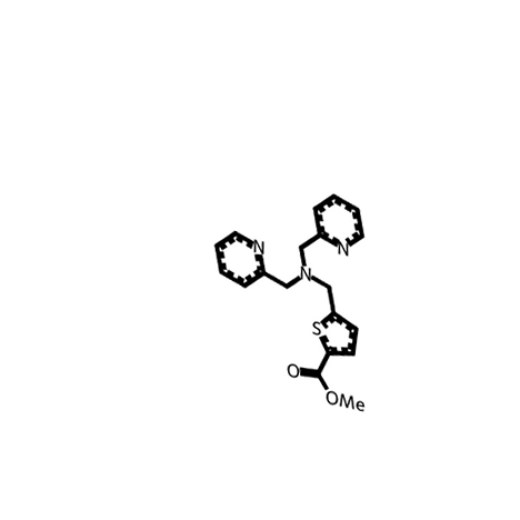 COC(=O)c1ccc(CN(Cc2ccccn2)Cc2ccccn2)s1